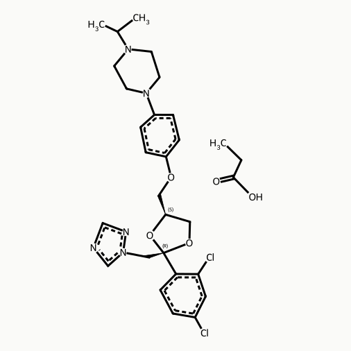 CC(C)N1CCN(c2ccc(OC[C@H]3CO[C@](Cn4cncn4)(c4ccc(Cl)cc4Cl)O3)cc2)CC1.CCC(=O)O